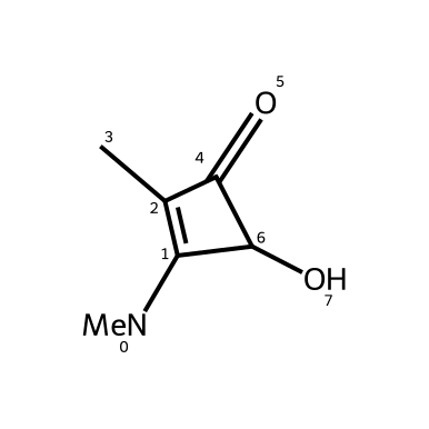 CNC1=C(C)C(=O)C1O